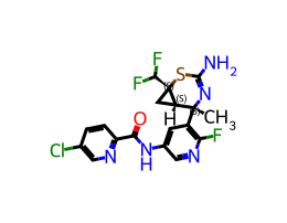 C[C@]1(c2cc(NC(=O)c3ccc(Cl)cn3)cnc2F)N=C(N)S[C@@]2(C(F)F)C[C@@H]12